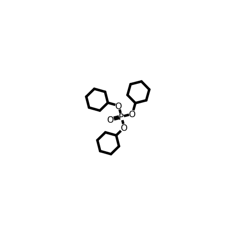 O=P(OC1CCCCC1)(OC1CCCCC1)OC1CCCCC1